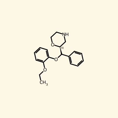 CCOc1ccccc1OC(c1ccccc1)[C@@H]1CNCCO1